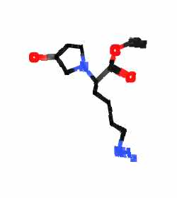 CC(C)(C)OC(=O)C(CCCCN)N1CCC(=O)C1